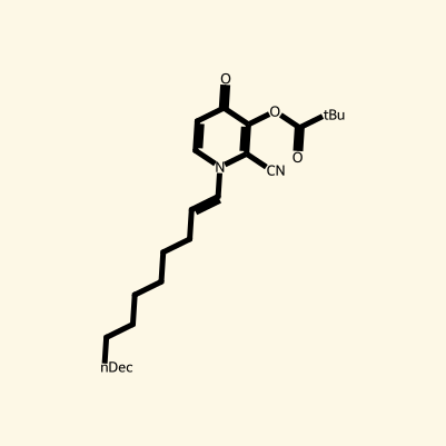 CCCCCCCCCCCCCCCCC=Cn1ccc(=O)c(OC(=O)C(C)(C)C)c1C#N